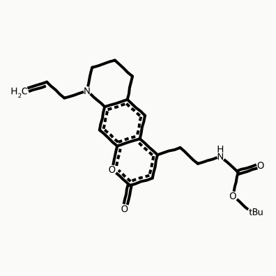 C=CCN1CCCc2cc3c(CCNC(=O)OC(C)(C)C)cc(=O)oc3cc21